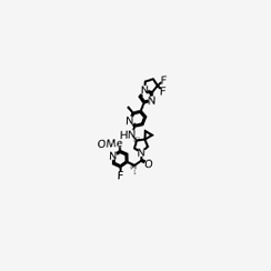 COc1cc([C@@H](C)C(=O)N2C[C@@H](Nc3ccc(-c4cn5c(n4)C(F)(F)CC5)c(C)n3)C3(CC3)C2)c(F)cn1